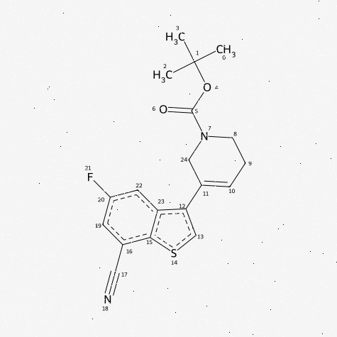 CC(C)(C)OC(=O)N1CCC=C(c2csc3c(C#N)cc(F)cc23)C1